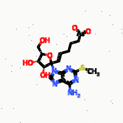 CSc1nc(N)c2ncn([C@]3(C=CCCC[As](=O)=O)O[C@H](CO)[C@@H](O)[C@H]3O)c2n1